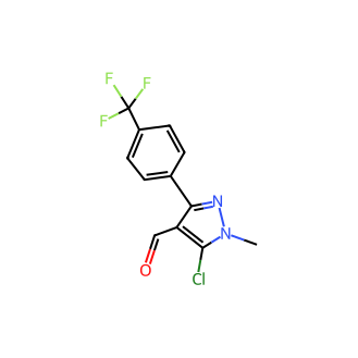 Cn1nc(-c2ccc(C(F)(F)F)cc2)c(C=O)c1Cl